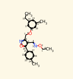 CCO/N=C/c1c(COc2cc(C)cc(CC)c2)noc1-c1ccc(C)cc1